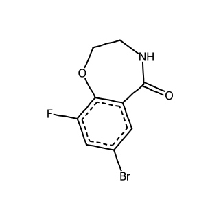 O=C1NCCOc2c(F)cc(Br)cc21